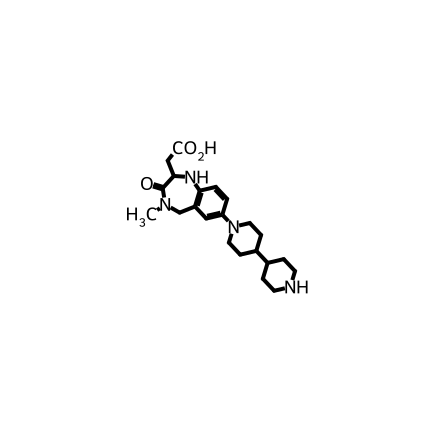 CN1Cc2cc(N3CCC(C4CCNCC4)CC3)ccc2NC(CC(=O)O)C1=O